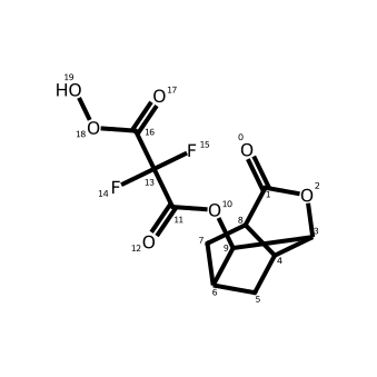 O=C1OC2C3CC(CC13)C2OC(=O)C(F)(F)C(=O)OO